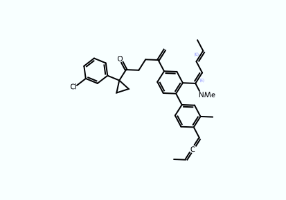 C=C(CCC(=O)C1(c2cccc(Cl)c2)CC1)c1ccc(-c2ccc(C=C=CC)c(C)c2)c(/C(=C\C=C\C)NC)c1